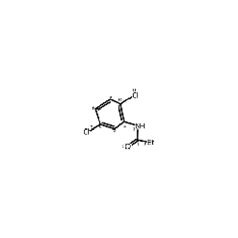 CCC(=O)Nc1cc(Cl)[c]cc1Cl